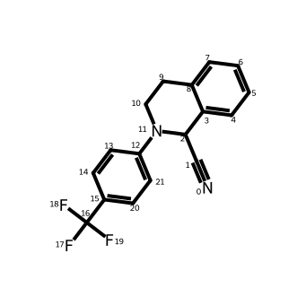 N#CC1c2ccccc2CCN1c1ccc(C(F)(F)F)cc1